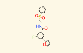 O=C(NCCS(=O)(=O)c1ccccc1)c1cc(F)cc(-c2ccco2)c1